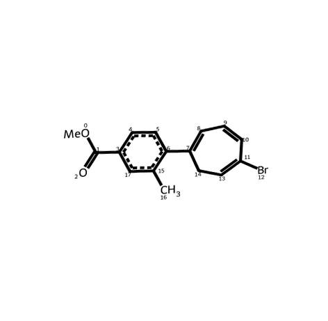 COC(=O)c1ccc(C2=CC=CC(Br)=CC2)c(C)c1